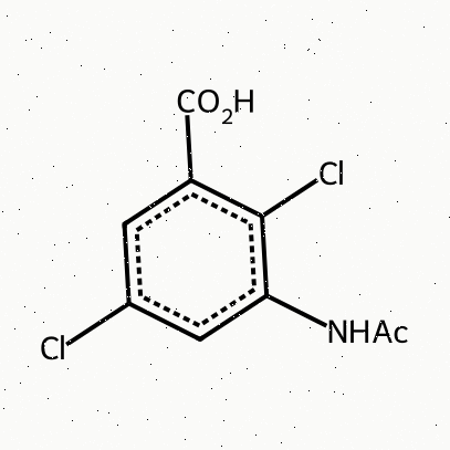 CC(=O)Nc1cc(Cl)cc(C(=O)O)c1Cl